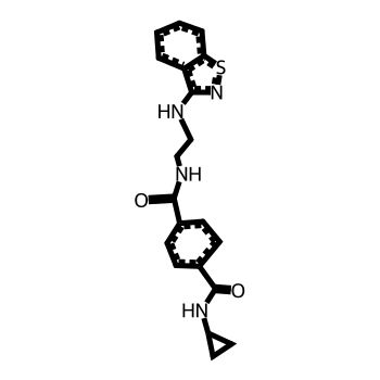 O=C(NCCNc1nsc2ccccc12)c1ccc(C(=O)NC2CC2)cc1